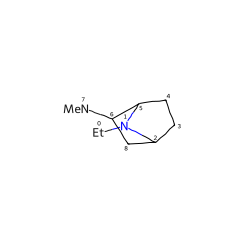 CCN1C2CCC1C(NC)C2